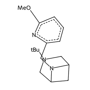 COc1cccc(CN2C3CC2CN(C(C)(C)C)C3)n1